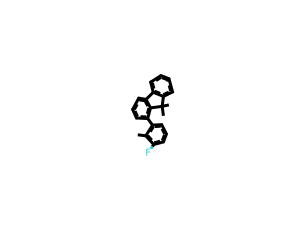 Cc1c(F)cccc1-c1cccc2c1C(C)(C)c1ccccc1-2